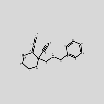 N#CC1(COCc2ccccc2)CCCNC1=C=O